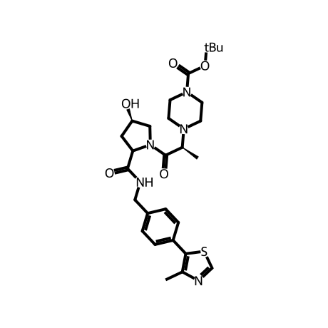 Cc1ncsc1-c1ccc(CNC(=O)C2C[C@@H](O)CN2C(=O)[C@H](C)N2CCN(C(=O)OC(C)(C)C)CC2)cc1